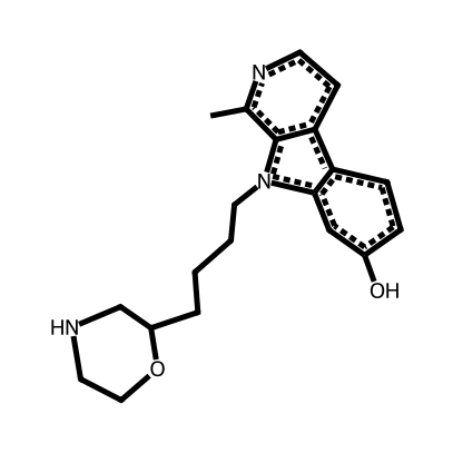 Cc1nccc2c3ccc(O)cc3n(CCCCC3CNCCO3)c12